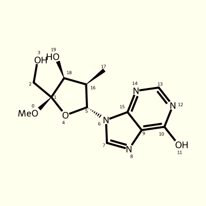 CO[C@]1(CO)O[C@@H](n2cnc3c(O)ncnc32)[C@H](C)[C@@H]1O